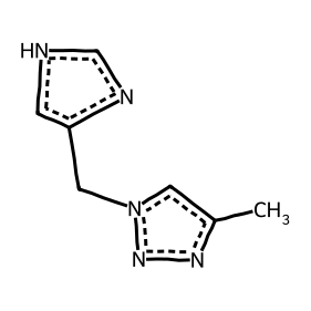 Cc1cn(Cc2c[nH]cn2)nn1